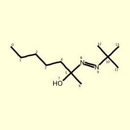 CCCCCC(C)(O)/N=N/C(C)(C)C